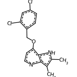 Cc1[nH]c2c(OCc3ccc(Cl)cc3Cl)ccnc2c1C